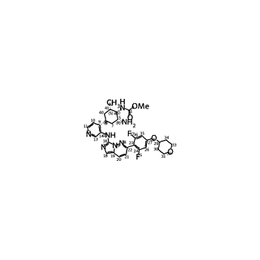 COC(=O)N[C@@H]1[C@H](N)C[C@H](c2ccncc2Nc2ncc3ccc(-c4c(F)cc(OC5CCOCC5)cc4F)nn23)C[C@@H]1C